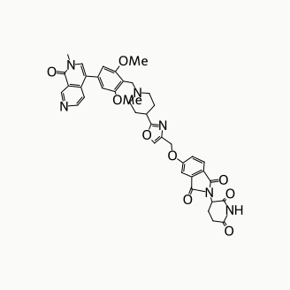 COc1cc(-c2cn(C)c(=O)c3cnccc23)cc(OC)c1CN1CCC(c2nc(COc3ccc4c(c3)C(=O)N(C3CCC(=O)NC3=O)C4=O)co2)CC1